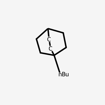 [CH2]CCCC12CCC(CC1)CC2